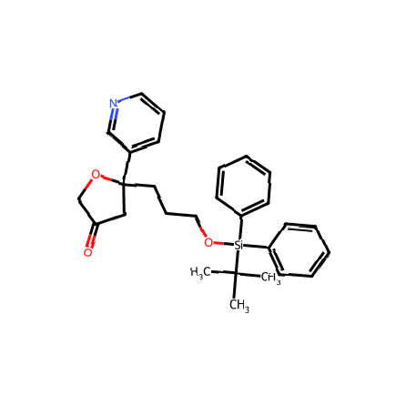 CC(C)(C)[Si](OCCCC1(c2cccnc2)CC(=O)CO1)(c1ccccc1)c1ccccc1